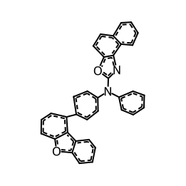 c1ccc(N(c2ccc(-c3cccc4oc5ccccc5c34)cc2)c2nc3c(ccc4ccccc43)o2)cc1